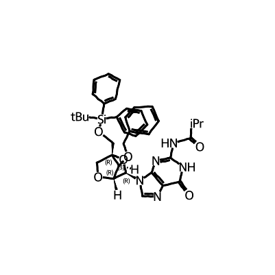 CC(C)C(=O)Nc1nc2c(ncn2[C@@H]2O[C@@]3(CO[Si](c4ccccc4)(c4ccccc4)C(C)(C)C)CO[C@@H]2[C@@H]3OCc2ccccc2)c(=O)[nH]1